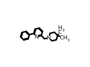 CC1(C)CCN(Cc2cccc(-c3ccccc3)n2)CC1